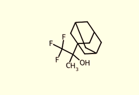 CC(O)(C(F)(F)F)C12CC3CC(CC(C3)C1)C2